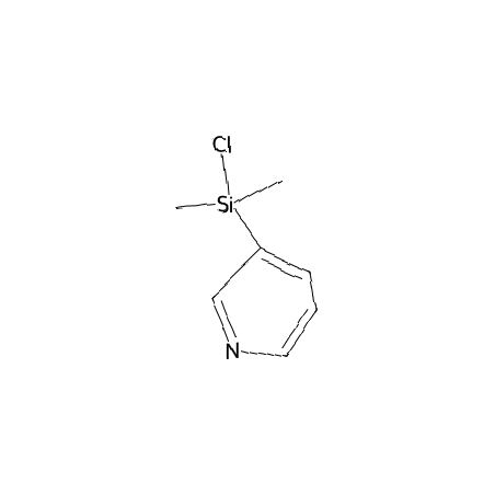 C[Si](C)(Cl)c1cccnc1